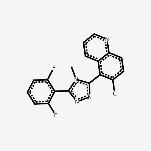 Cn1c(-c2c(F)cccc2F)nnc1-c1c(Cl)ccc2ncccc12